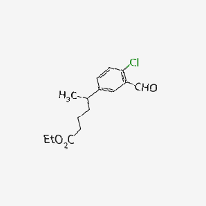 CCOC(=O)CCCC(C)c1ccc(Cl)c(C=O)c1